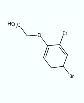 CCC1=CC(Br)CC=C1OCC(=O)O